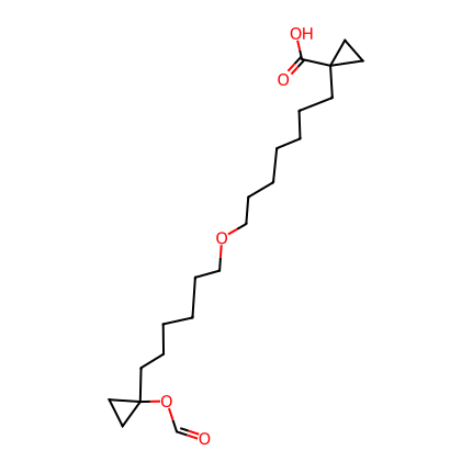 O=COC1(CCCCCCOCCCCCCCC2(C(=O)O)CC2)CC1